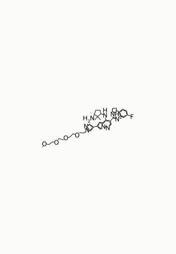 COCCOCCOCCOCCn1cc(-c2cc3c(N[C@@H]4CC[C@](C)(N)C4(C)C)c(/C(N)=N/c4cc(F)ccc4Cl)cnn3c2)cn1